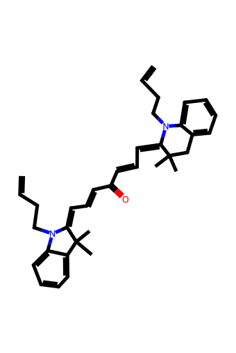 C=CCCN1/C(=C/C=C/C(=O)/C=C/C=C2/N(CCC=C)c3ccccc3C2(C)C)C(C)(C)Cc2ccccc21